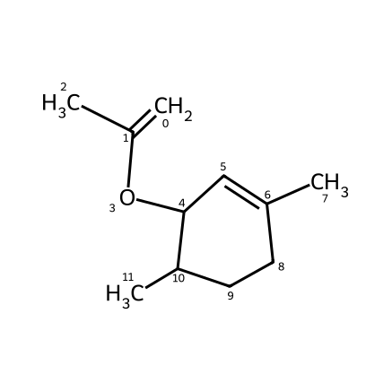 C=C(C)OC1C=C(C)CCC1C